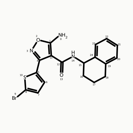 Nc1onc(-c2ccc(Br)s2)c1C(=O)NC1CCCc2ccccc21